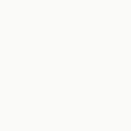 CC(=O)Oc1ccc(C(c2ccc(OC(C)=O)cc2)c2ccccc2NC(=O)CC2CC3CCC2C3)cc1